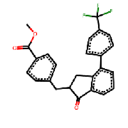 COC(=O)c1ccc(CC2Cc3c(cccc3-c3ccc(C(F)(F)F)cc3)C2=O)cc1